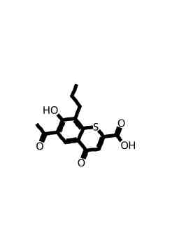 CCCc1c(O)c(C(C)=O)cc2c(=O)cc(C(=O)O)sc12